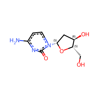 Nc1ccn([C@@H]2C[C@@H](O)[C@H](CO)O2)c(=O)n1